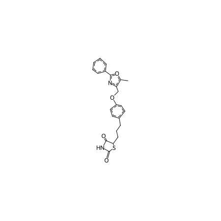 Cc1oc(-c2ccccc2)nc1COc1ccc(CCCC2SC(=O)NC2=O)cc1